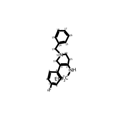 CCOC(=O)NC1=C(c2ccc(F)cc2)CN(Cc2ccccc2)CC1